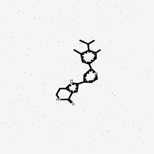 Cc1cc(-c2cc(-c3cc4c([nH]3)CCNC4=O)ccn2)cc(C)c1C(C)C